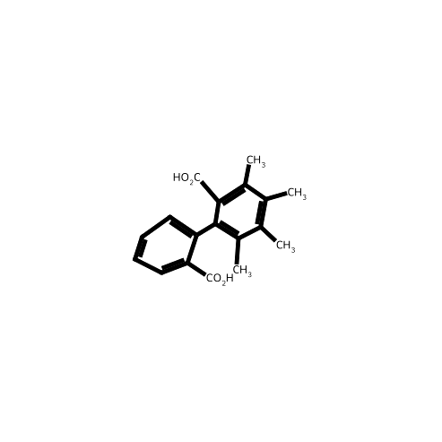 Cc1c(C)c(C)c(-c2ccccc2C(=O)O)c(C(=O)O)c1C